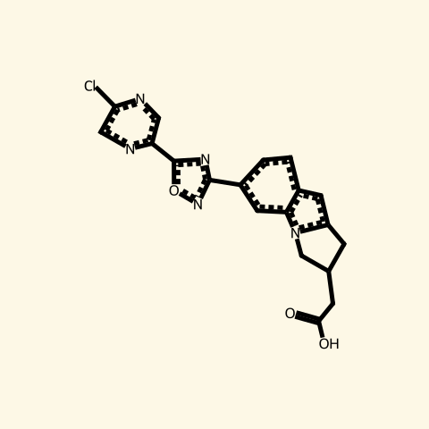 O=C(O)CC1Cc2cc3ccc(-c4noc(-c5cnc(Cl)cn5)n4)cc3n2C1